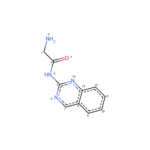 NCC(=O)Nc1ncc2ccccc2n1